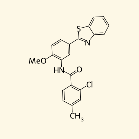 COc1ccc(-c2nc3ccccc3s2)cc1NC(=O)c1ccc(C)cc1Cl